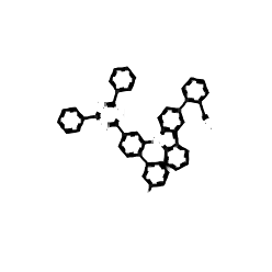 N#Cc1ccccc1-c1ccc2c(c1)c1ccccc1n2-c1cc(-c2nc(-c3ccccc3)nc(-c3ccccc3)n2)ccc1-c1cccc(F)c1